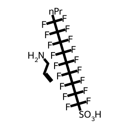 C=CCN.CCCC(F)(F)C(F)(F)C(F)(F)C(F)(F)C(F)(F)C(F)(F)C(F)(F)C(F)(F)C(F)(F)S(=O)(=O)O